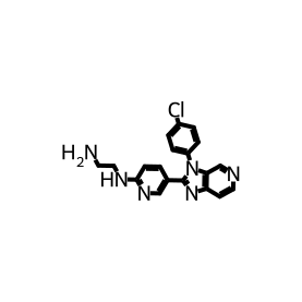 NCCNc1ccc(-c2nc3ccncc3n2-c2ccc(Cl)cc2)cn1